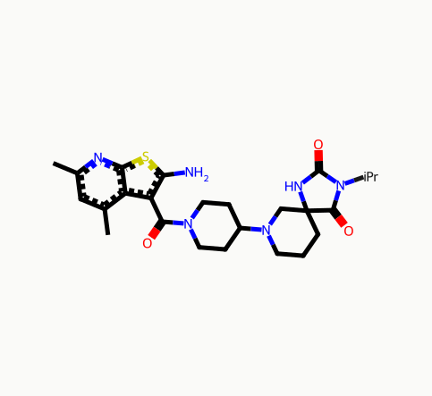 Cc1cc(C)c2c(C(=O)N3CCC(N4CCCC5(C4)NC(=O)N(C(C)C)C5=O)CC3)c(N)sc2n1